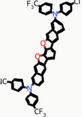 N#Cc1ccc(N(c2ccc(C(F)(F)F)cc2)c2ccc3cc4c(cc3c2)oc2c4ccc3c4cc5ccc(N(c6ccc(C#N)cc6)c6ccc(C(F)(F)F)cc6)cc5cc4oc32)cc1